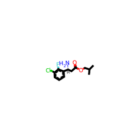 CC(C)COC(=O)C[C@@H](N)c1cccc(Cl)c1F